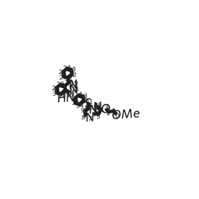 COCCOc1cc2nccc(Sc3ccc(Nc4nnc(-c5ccccc5)c5ccccc45)cc3)n2n1